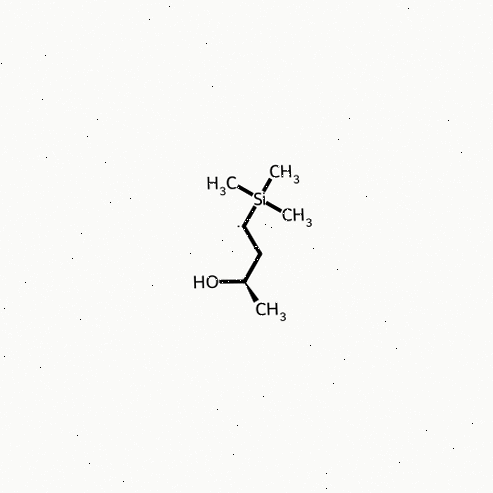 C[C@@H](O)C[CH][Si](C)(C)C